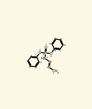 CN=NNP(=O)(Oc1ccccc1)Oc1ccccc1